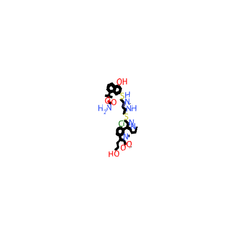 CN/C(=C\C(=N)CSCc1nn2c(c1-c1c(Cl)ccc3c(CCCO)c(C(=O)OC)n(C)c13)CCC2)CSc1cc(O)c2cccc(C(C)(C)OC(N)=O)c2c1